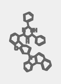 c1ccc(C2N=C(c3cccc4oc5cc(-n6c7ccccc7c7c8ccccc8ccc76)ccc5c34)NC(c3ccccc3)N2)cc1